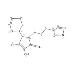 CCC1=C(O)C(=O)N(CCCn2ccnc2)C1C1CCC=CO1